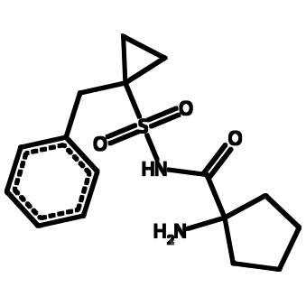 NC1(C(=O)NS(=O)(=O)C2(Cc3ccccc3)CC2)CCCC1